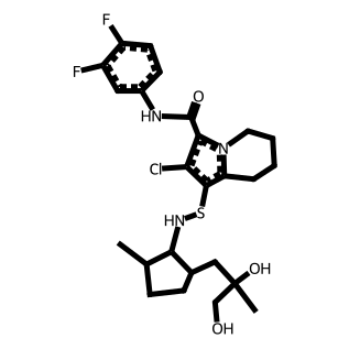 CC1CCC(CC(C)(O)CO)C1NSc1c(Cl)c(C(=O)Nc2ccc(F)c(F)c2)n2c1CCCC2